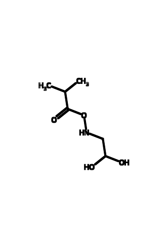 CC(C)C(=O)ONCC(O)O